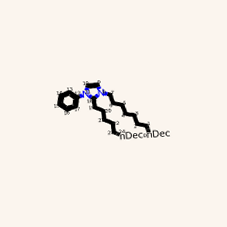 CCCCCCCCCCCCCCCCCN1C=CN(c2ccccc2)C1CCCCCCCCCCCCCCC